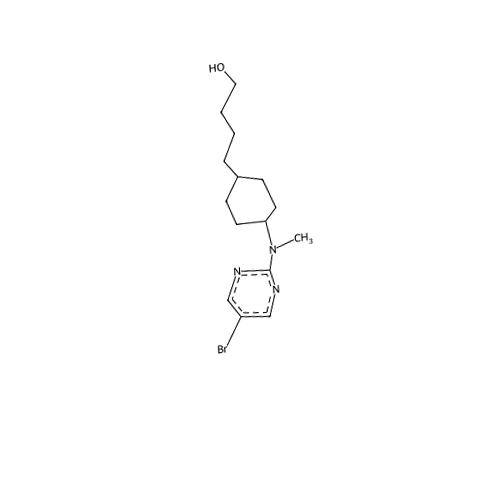 CN(c1ncc(Br)cn1)C1CCC(CCCCO)CC1